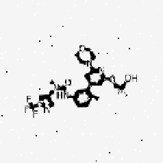 Cc1ccc(NC(=O)N(C)c2cnn(C(F)(F)F)c2)cc1-c1cc(OC[C@@H](C)O)nc(N2CCOCC2)c1